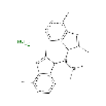 CC1=Cc2c(C)cccc2[CH]1[Ti]([CH]1C(C)=Cc2c(C)cccc21)=[Si](C)C.Cl.Cl